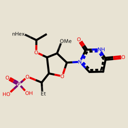 CCCCCCC(C)OC1C(C(CC)OP(=O)(O)O)OC(n2ccc(=O)[nH]c2=O)C1OC